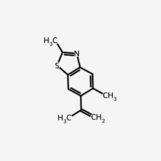 C=C(C)c1cc2sc(C)nc2cc1C